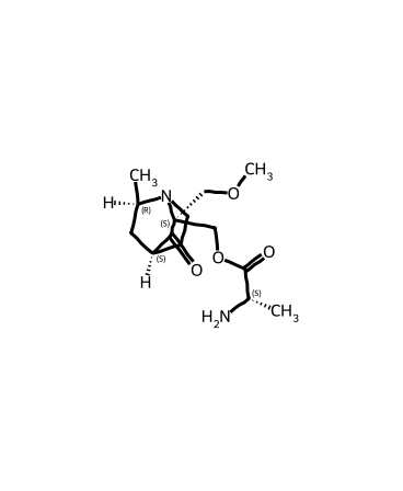 COC[C@]1(COC(=O)[C@H](C)N)C(=O)[C@H]2CCN1[C@H](C)C2